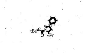 CC(C)C1C[C@H](c2ccccc2)CN1C(=O)OC(C)(C)C